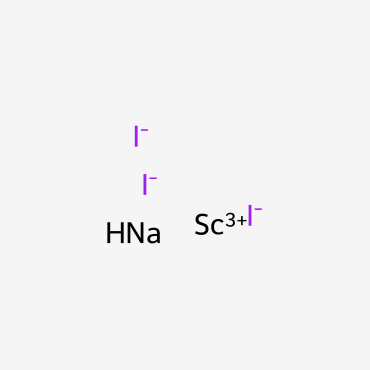 [I-].[I-].[I-].[NaH].[Sc+3]